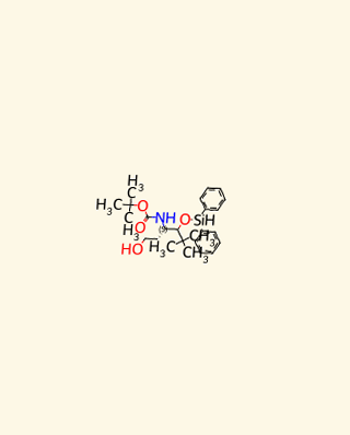 CC(C)(C)OC(=O)N[C@@H](CCO)C(O[SiH](c1ccccc1)c1ccccc1)C(C)(C)C